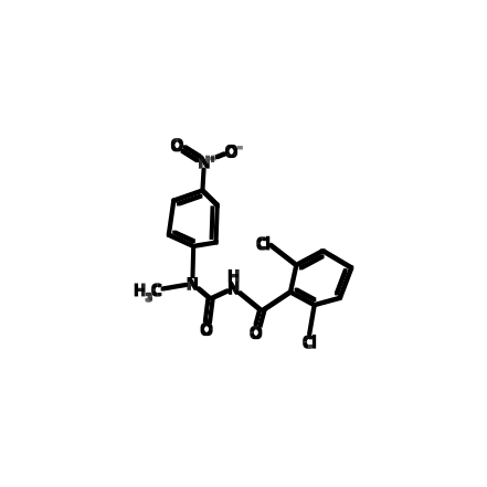 CN(C(=O)NC(=O)c1c(Cl)cccc1Cl)c1ccc([N+](=O)[O-])cc1